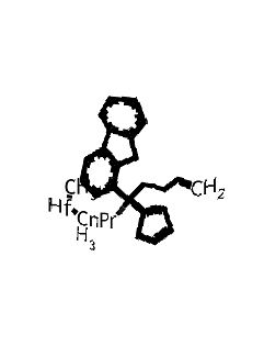 C=CCCC(CCC)(C1=CC=CC1)c1cccc2c1Cc1ccccc1-2.[CH3][Hf][CH3]